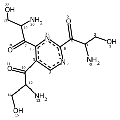 NC(CO)C(=O)c1ncc(C(=O)C(N)CO)c(C(=O)C(N)CO)n1